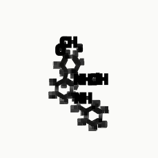 COc1ccc2[nH]c3c(c2c1)CCCC3NCc1ccccc1.Cl